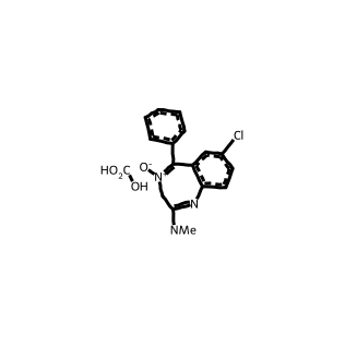 CNC1=Nc2ccc(Cl)cc2C(c2ccccc2)=[N+]([O-])C1.O=C(O)O